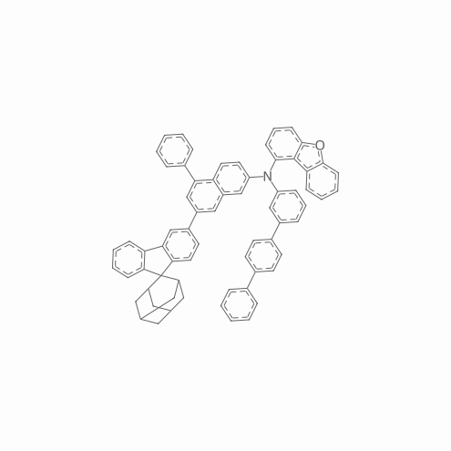 c1ccc(-c2ccc(-c3cccc(N(c4ccc5c(-c6ccccc6)cc(-c6ccc7c(c6)-c6ccccc6C76C7CC8CC(C7)CC6C8)cc5c4)c4cccc5oc6ccccc6c45)c3)cc2)cc1